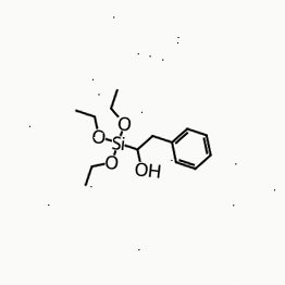 CCO[Si](OCC)(OCC)C(O)Cc1ccccc1